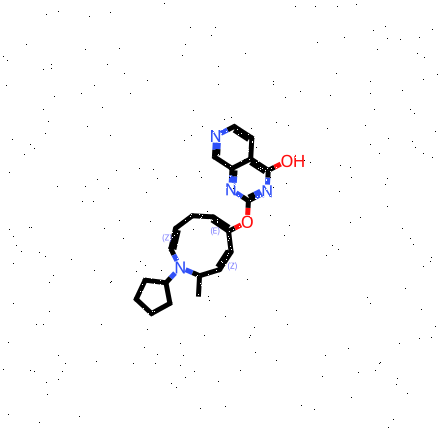 CC1/C=C\C(Oc2nc(O)c3ccncc3n2)=C/C/C=C\N1C1CCCC1